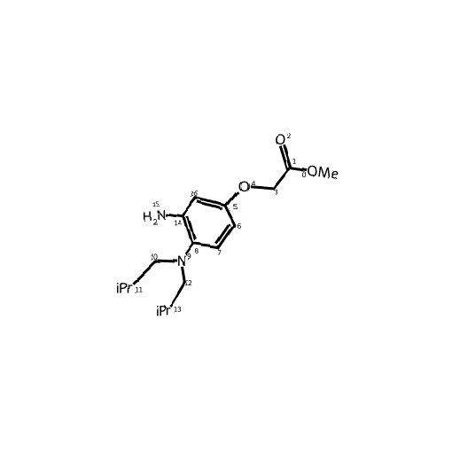 COC(=O)COc1ccc(N(CC(C)C)CC(C)C)c(N)c1